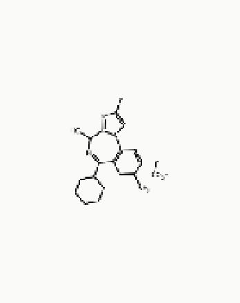 CC(=O)O.Cc1cn2c(n1)C(O)N=C(C1CCCCC1)c1cc(C(F)(F)F)ccc1-2